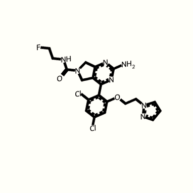 Nc1nc2c(c(-c3c(Cl)cc(Cl)cc3OCCn3cccn3)n1)CN(C(=O)NCCF)C2